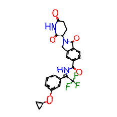 O=C1CCC(N2Cc3cc(C(=O)N[C@H](c4cccc(OC5CC5)c4)C(F)(F)F)ccc3C2=O)C(=O)N1